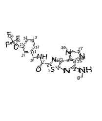 CNc1nc2sc(C(=O)NCc3cccc(OC(F)(F)F)c3)nc2c2c1ncn2C